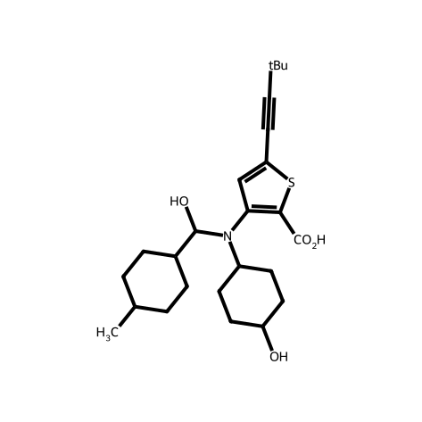 CC1CCC(C(O)N(c2cc(C#CC(C)(C)C)sc2C(=O)O)C2CCC(O)CC2)CC1